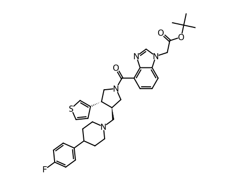 CC(C)(C)OC(=O)Cn1cnc2c(C(=O)N3C[C@@H](CN4CCC(c5ccc(F)cc5)CC4)[C@H](c4ccsc4)C3)cccc21